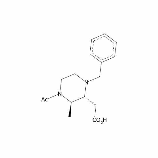 CC(=O)N1CCN(Cc2ccccc2)[C@H](CC(=O)O)[C@H]1C